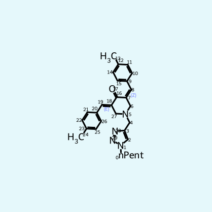 CCCCCn1cc(CN2C/C(=C/c3ccc(C)cc3)C(=O)/C(=C/c3ccc(C)cc3)C2)nn1